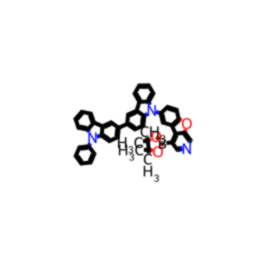 CC1(C)OB(c2cncc3oc4ccc(-n5c6ccccc6c6cc(-c7ccc8c(c7)c7ccccc7n8-c7ccccc7)ccc65)cc4c23)OC1(C)C